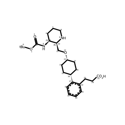 CC(C)(C)OC(=O)N[C@H]1CCCN[C@H]1CO[C@H]1CC[C@@H](c2ccccc2CCC(=O)O)CC1